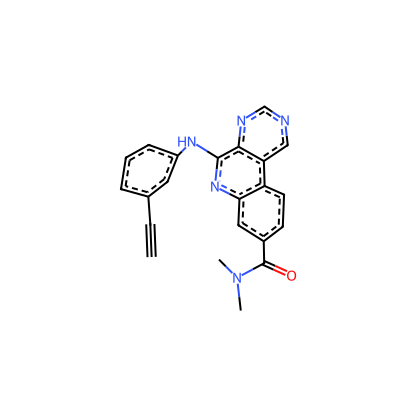 C#Cc1cccc(Nc2nc3cc(C(=O)N(C)C)ccc3c3cncnc23)c1